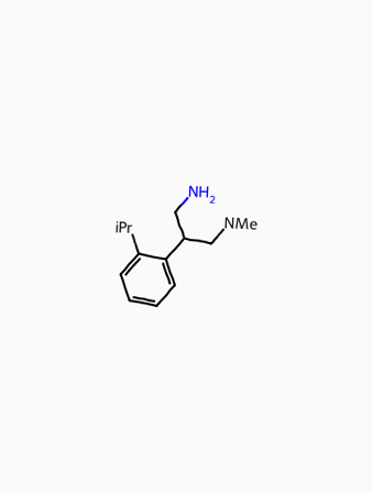 CNCC(CN)c1ccccc1C(C)C